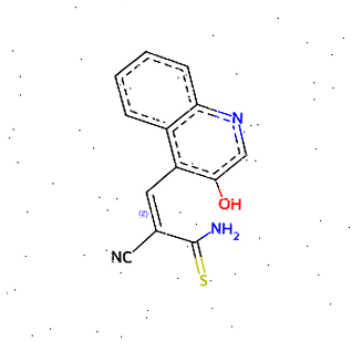 N#C/C(=C/c1c(O)cnc2ccccc12)C(N)=S